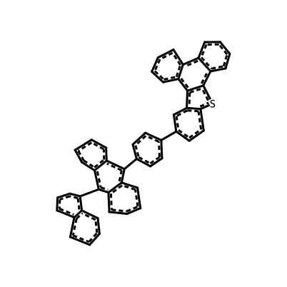 c1ccc2c(-c3c4ccccc4c(-c4ccc(-c5ccc6sc7c8ccccc8c8ccccc8c7c6c5)cc4)c4ccccc34)cccc2c1